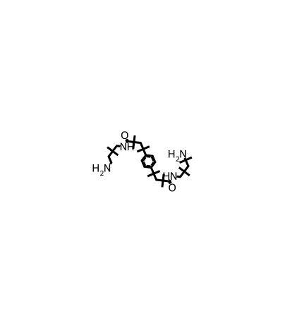 CC(C)(N)CC(C)(C)CNC(=O)C(C)(C)CC(C)(C)c1ccc(C(C)(C)CC(C)(C)C(=O)NCC(C)(C)CCN)cc1